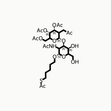 CC(=O)CC1[C@H](O[C@@H]2C(NC(C)=O)[C@@H](OCCCCCSC(C)=O)OC(CO)[C@@H]2O)OC(COC(C)=O)[C@H](OC(C)=O)[C@@H]1OC(C)=O